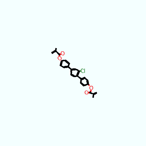 C=C(C)C(=O)Oc1ccc(-c2ccc(-c3ccc(OC(=O)C(=C)C)cc3)c(Cl)c2)cc1